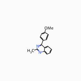 COc1ccc(-c2nc(C)nc3ccccc23)cc1